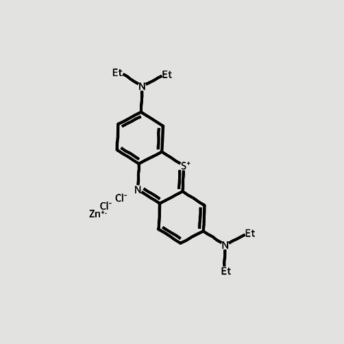 CCN(CC)c1ccc2nc3ccc(N(CC)CC)cc3[s+]c2c1.[Cl-].[Cl-].[Zn+]